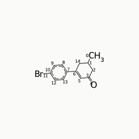 CC1CC(=O)C=C(c2ccc(Br)cc2)C1